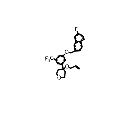 C=CCOC1(c2cc(OCc3ccc4ccc(F)cc4c3)cc(C(F)(F)F)c2)CCOCC1